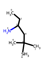 CCC(N)CC(C)(C)[SiH3]